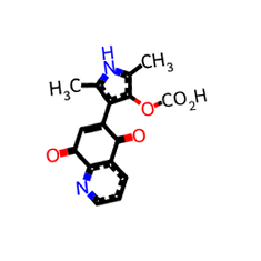 Cc1[nH]c(C)c(C2=CC(=O)c3ncccc3C2=O)c1OC(=O)O